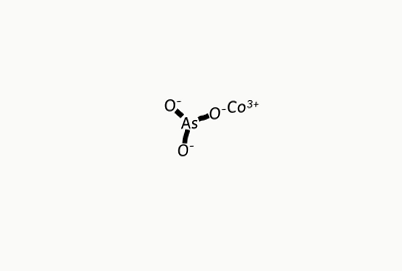 [Co+3].[O-][As]([O-])[O-]